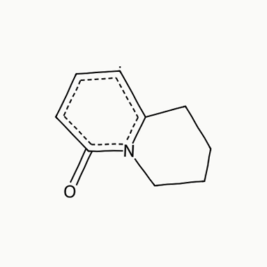 O=c1cc[c]c2n1CCCC2